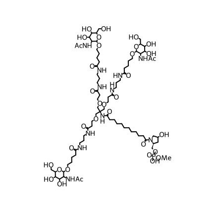 COP(=O)(O)OC[C@@H]1CC(O)CN1C(=O)CCCCCCCCCCC(=O)NC(COCCC(=O)NCCCNC(=O)CCCCOC1OC(CO)C(O)C(O)C1NC(C)=O)(COCCC(=O)NCCCNC(=O)CCCCOC1OC(CO)C(O)C(O)C1NC(C)=O)COCCC(=O)NCCCNC(=O)CCCCOC1OC(CO)C(O)C(O)C1NC(C)=O